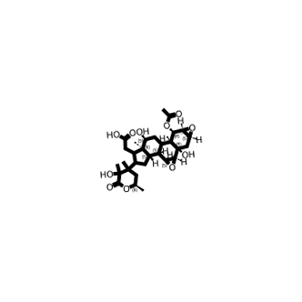 CC(=O)O[C@H]1[C@H]2O[C@H]2C[C@]2(O)[C@H]3O[C@H]3[C@H]3[C@@H]4CC(C5(C)C[C@@H](C)OC(=O)C5(C)O)C(CC(=O)O)[C@@]4(C)[C@@H](O)C[C@@H]3[C@@]12C